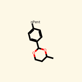 CCCCCc1ccc(C2OCCC(C)O2)cc1